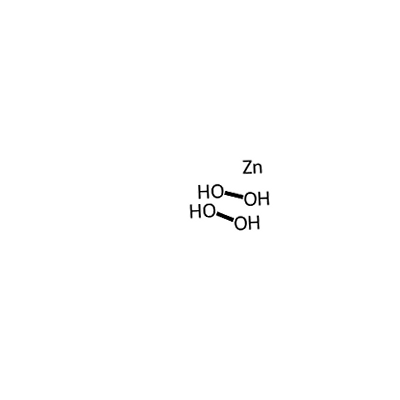 OO.OO.[Zn]